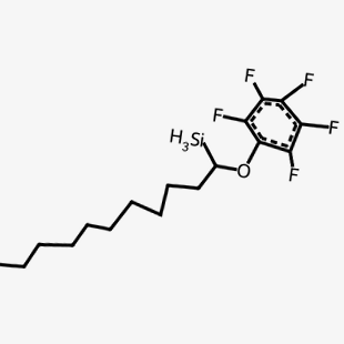 CCCCCCCCCCC([SiH3])Oc1c(F)c(F)c(F)c(F)c1F